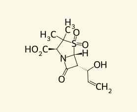 C=CC(O)[C@@H]1C(=O)N2[C@@H](C(=O)O)C(C)(C)S(=O)(=O)[C@H]12